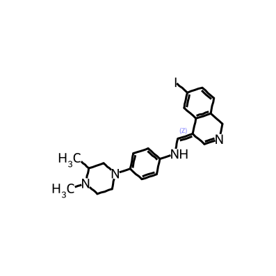 CC1CN(c2ccc(N/C=C3\C=NCc4ccc(I)cc43)cc2)CCN1C